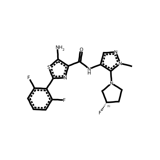 Cn1ncc(NC(=O)c2nc(-c3c(F)cccc3F)sc2N)c1N1CC[C@H](F)C1